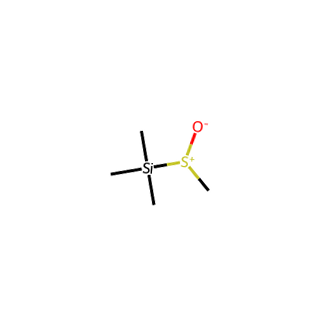 C[S+]([O-])[Si](C)(C)C